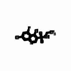 O=S(=O)(NCC(F)(F)F)c1cnc2cc(Cl)cc(F)c2c1Cl